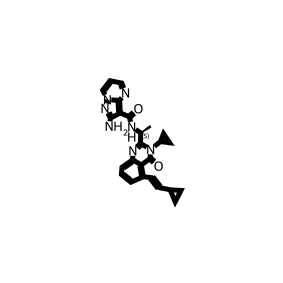 C[C@H](NC(=O)c1c(N)nn2cccnc12)c1nc2cccc(C#CC3CC3)c2c(=O)n1C1CC1